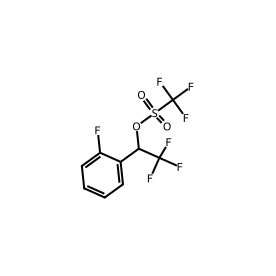 O=S(=O)(OC(c1ccccc1F)C(F)(F)F)C(F)(F)F